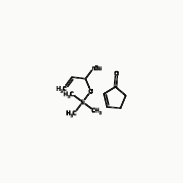 C=CC(CCCC)O[Si](C)(C)C.O=C1C=CCC1